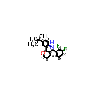 CC(C)(C)c1ccc2c(c1)C1OCCCC1C(c1cccc(F)c1F)N2